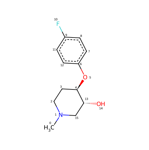 CN1CC[C@@H](Oc2ccc(F)cc2)[C@H](O)C1